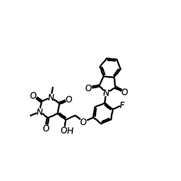 CN1C(=O)C(=C(O)COc2ccc(F)c(N3C(=O)c4ccccc4C3=O)c2)C(=O)N(C)C1=O